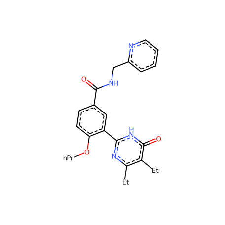 CCCOc1ccc(C(=O)NCc2ccccn2)cc1-c1nc(CC)c(CC)c(=O)[nH]1